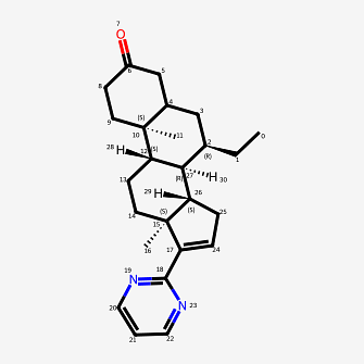 CC[C@@H]1CC2CC(=O)CC[C@]2(C)[C@H]2CC[C@]3(C)C(c4ncccn4)=CC[C@H]3[C@H]12